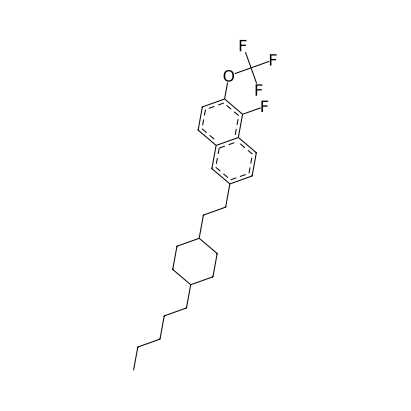 CCCCCC1CCC(CCc2ccc3c(F)c(OC(F)(F)F)ccc3c2)CC1